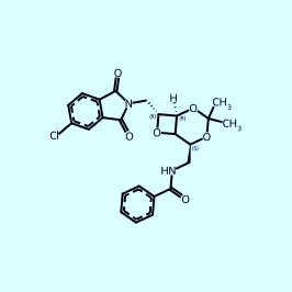 CC1(C)O[C@@H](CNC(=O)c2ccccc2)C2O[C@H](CN3C(=O)c4ccc(Cl)cc4C3=O)[C@H]2O1